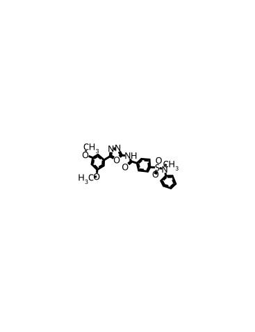 COc1cc(OC)cc(-c2nnc(NC(=O)c3ccc(S(=O)(=O)N(C)c4ccccc4)cc3)o2)c1